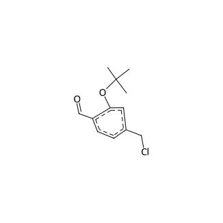 CC(C)(C)Oc1cc(CCl)ccc1C=O